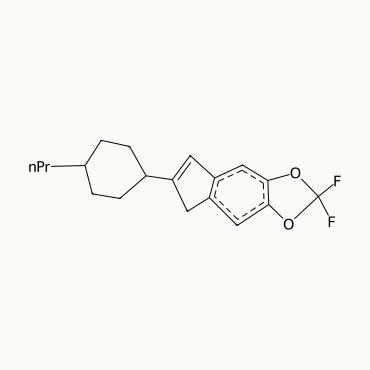 CCCC1CCC(C2=Cc3cc4c(cc3C2)OC(F)(F)O4)CC1